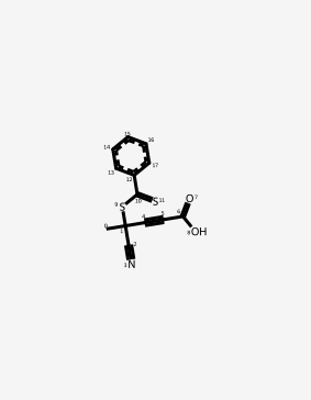 CC(C#N)(C#CC(=O)O)SC(=S)c1ccccc1